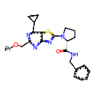 CC(C)OCc1nc(C2CC2)c2sc(N3CCC[C@@H]3C(=O)NCc3ccccc3)nc2n1